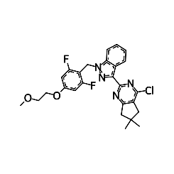 COCCOc1cc(F)c(Cn2nc(-c3nc(Cl)c4c(n3)CC(C)(C)C4)c3ccccc32)c(F)c1